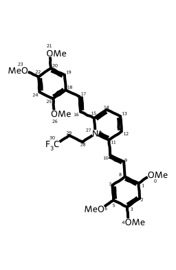 COc1cc(OC)c(OC)cc1/C=C/c1cccc(/C=C/c2cc(OC)c(OC)cc2OC)[n+]1CCC(F)(F)F